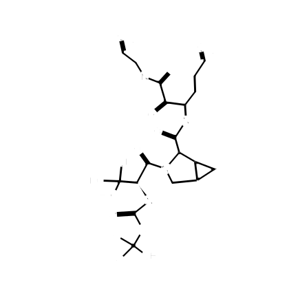 C=CCCC(NC(=O)C1C2CC2CN1C(=O)[C@@H](NC(=O)OC(C)(C)C)C(C)(C)C)C(=O)C(=O)NCC=C